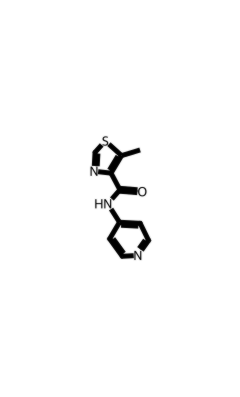 Cc1scnc1C(=O)Nc1ccncc1